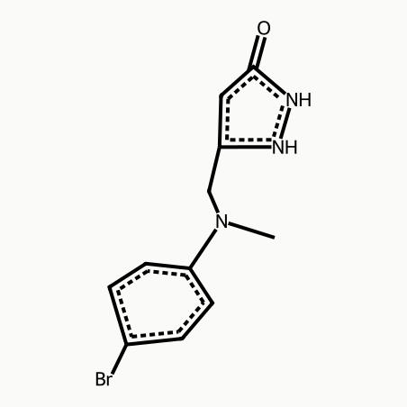 CN(Cc1cc(=O)[nH][nH]1)c1ccc(Br)cc1